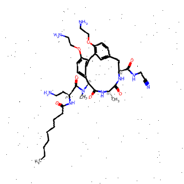 CCCCCCCCC(=O)N[C@@H](CCN)C(=O)N(C)[C@@H]1C(=O)N[C@@H](C)C(=O)N[C@H](C(=O)NCC#N)Cc2ccc(OCCN)c(c2)-c2cc1ccc2OCCN